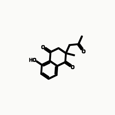 CC(=O)CC1(C)CC(=O)c2c(O)cccc2C1=O